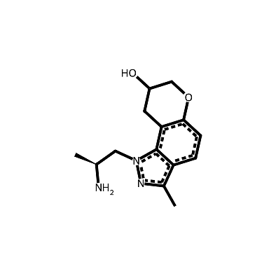 Cc1nn(C[C@H](C)N)c2c3c(ccc12)OCC(O)C3